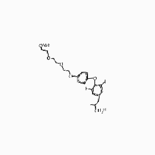 COCCOCCOCCOc1ccc(Oc2c(I)cc(CC(C)C(=O)O)cc2I)cc1